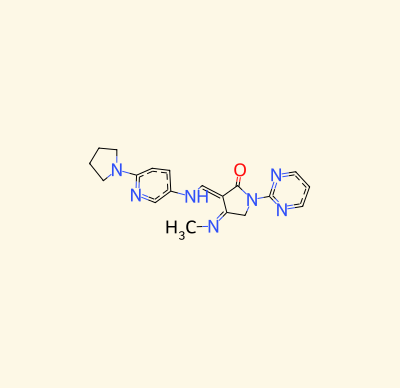 C/N=C1/CN(c2ncccn2)C(=O)/C1=C/Nc1ccc(N2CCCC2)nc1